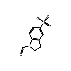 O=CN1CCc2cc(S(=O)(=O)Cl)ccc21